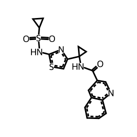 O=C(NC1(c2csc(NS(=O)(=O)C3CC3)n2)CC1)c1cnc2ccccc2c1